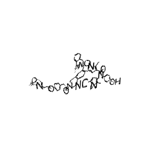 Cc1c(N(C(=O)c2cc(-c3cc4c(cc3C(=O)N3Cc5ccccc5C[C@H]3C)CN(C(=O)Cc3ccc(OCCN5CCO[C@@H](C)C5)cc3)CC4)n(C)c2C)c2ccc(O)cc2)cc(C#N)n1C